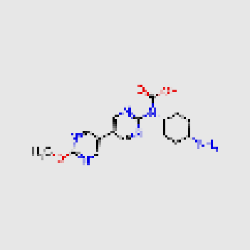 COc1ncc(-c2cnc(N(C(=O)O)[C@H]3CC[C@H](N)CC3)nc2)cn1